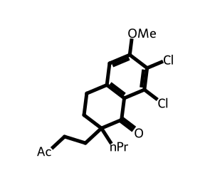 CCCC1(CCC(C)=O)CCc2cc(OC)c(Cl)c(Cl)c2C1=O